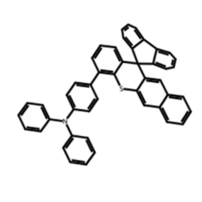 c1ccc(N(c2ccccc2)c2ccc(-c3cccc4c3Sc3cc5ccccc5cc3C43c4ccccc4-c4ccccc43)cc2)cc1